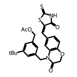 CC(=O)OCc1cc(CN2C(=O)COc3ccc(/C=C4/SC(=S)NC4=O)cc32)cc(C(C)(C)C)c1